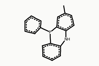 Cc1ccc2c(c1)P(c1ccccc1)c1ccccc1N2